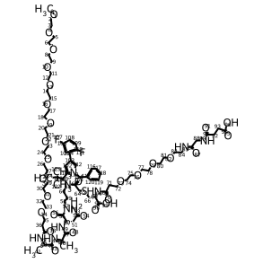 COCCOCCOCCOCCOCCOCCOCCOCCOCCOCCOCCOCCC(=O)N[C@@H](C)C(=O)N[C@H](C)C(=O)N[C@@H](CC(N)=O)C(=O)NCCCN(C(=O)CSC[C@H](NC(=O)CCOCCOCCOCCOCCNC(=O)CNC(=O)CCC(=O)O)C(=O)O)[C@@H](c1cc(-c2cc(F)ccc2F)cn1Cc1ccccc1)C(C)(C)C